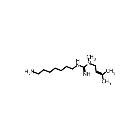 CC(C)=CCN(C)C(=N)NCCCCCCCN